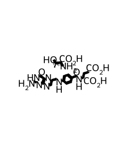 C[C@@H](O)[C@H](N)C(=O)O.Nc1nc2ncc(CNc3ccc(C(=O)NC(CCC(=O)O)C(=O)O)cc3)nc2c(=O)[nH]1